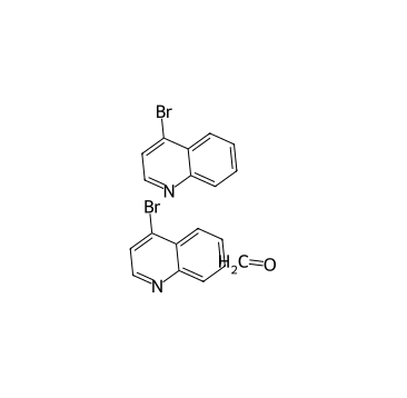 Brc1ccnc2ccccc12.Brc1ccnc2ccccc12.C=O